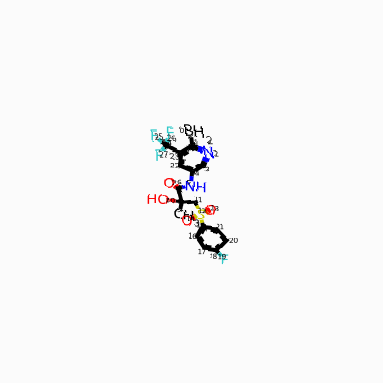 Bc1ncc(NC(=O)C(C)(O)CS(=O)(=O)c2ccc(F)cc2)cc1C(F)(F)F